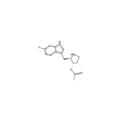 CC(=O)O[C@H]1CCN[C@@H]1Cc1c[nH]c2cc(F)ccc12